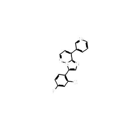 Fc1ccc(-c2cnc3c(-c4cccnc4)ccnn23)c(Cl)c1